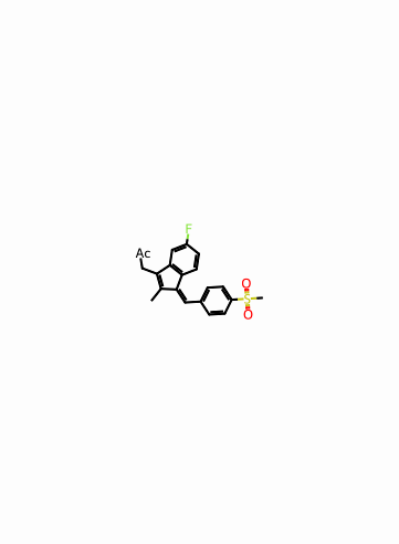 CC(=O)CC1=C(C)/C(=C/c2ccc(S(C)(=O)=O)cc2)c2ccc(F)cc21